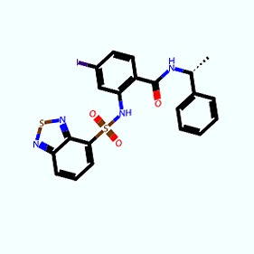 C[C@@H](NC(=O)c1ccc(I)cc1NS(=O)(=O)c1cccc2nsnc12)c1ccccc1